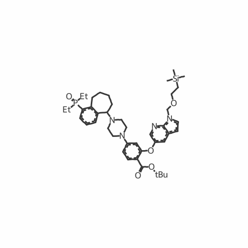 CCP(=O)(CC)c1cccc2c1CCCCC2N1CCN(c2ccc(C(=O)OC(C)(C)C)c(Oc3cnc4c(ccn4COCC[Si](C)(C)C)c3)c2)CC1